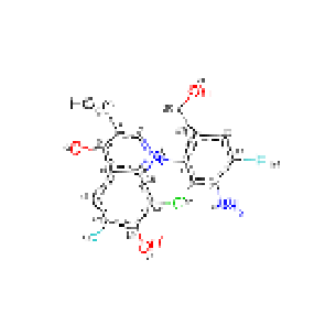 Nc1cc(-n2cc(C(=O)O)c(=O)c3cc(F)c(O)c(Cl)c32)c(CO)cc1F